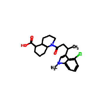 CC(CC(=O)N1CCCC2C(C(=O)O)CCCC21)c1cn(C)c2cccc(Cl)c12